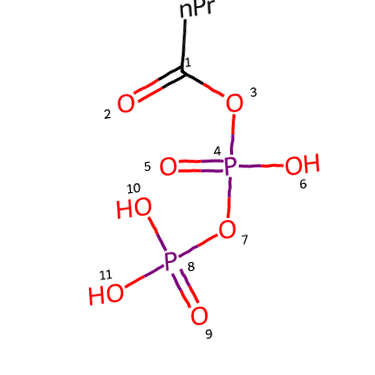 CCCC(=O)OP(=O)(O)OP(=O)(O)O